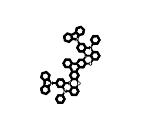 c1ccc(N2c3cc(-n4c5ccccc5c5ccccc54)ccc3B3c4cc5c6ccccc6c6cc7c(cc6c5cc4Oc4cccc2c43)Oc2cccc3c2B7c2ccc(-n4c5ccccc5c5ccccc54)cc2N3c2ccccc2)cc1